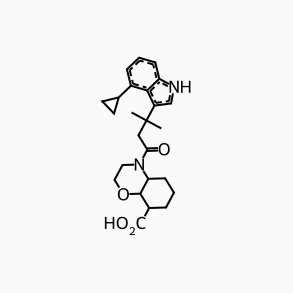 CC(C)(CC(=O)N1CCOC2C(C(=O)O)CCCC21)c1c[nH]c2cccc(C3CC3)c12